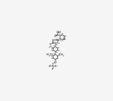 Cc1cc(OCC(F)(F)F)cc(C)c1-c1ccc2c(c1)CCN[C@H]2CNc1cnccc1C(=O)O